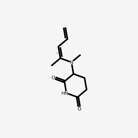 C=C/C=C(/C)N(C)C1CCC(=O)NC1=O